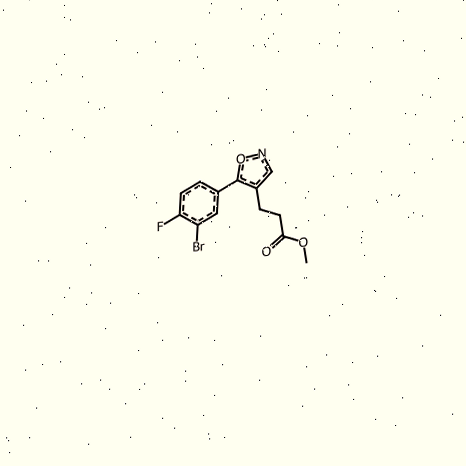 COC(=O)CCc1cnoc1-c1ccc(F)c(Br)c1